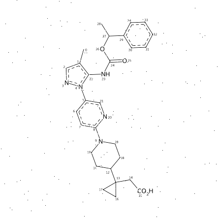 Cc1cnn(-c2ccc(N3CCC(C4(CC(=O)O)CC4)CC3)nc2)c1NC(=O)OC(C)c1ccccc1